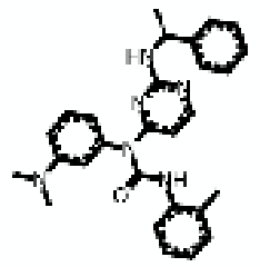 Cc1ccccc1NC(=O)N(c1cccc(N(C)C)c1)c1ccnc(N[C@@H](C)c2ccccc2)n1